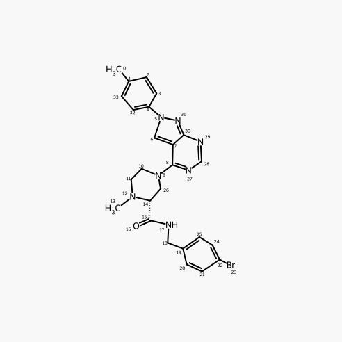 Cc1ccc(-n2cc3c(N4CCN(C)[C@@H](C(=O)NCc5ccc(Br)cc5)C4)ncnc3n2)cc1